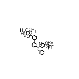 CC(C)(C)OC(=O)c1cccc(-c2cccc(C(Cc3ccccc3)c3ccc(OS(=O)(=O)C(F)(F)F)cn3)c2)c1